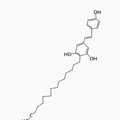 OCCCCCCCCCCCCCCc1c(O)cc(/C=C/c2ccc(O)cc2)cc1O